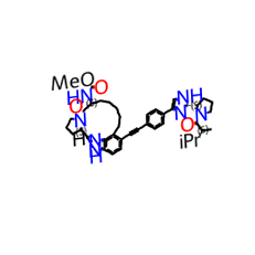 COC(=O)N[C@H]1CCCCCc2c(C#Cc3ccc(-c4c[nH]c([C@@H]5CCCN5C(=O)[C@@H](C)C(C)C)n4)cc3)ccc3nc([nH]c23)[C@@H]2CCCN2C1=O